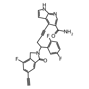 C#Cc1cc(F)c2c(c1)C(=O)N(C(CC#Cc1c(C(N)=O)cnc3[nH]ccc13)c1cc(F)ccc1F)C2